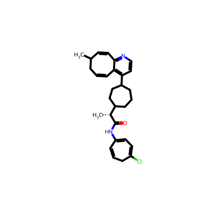 CC1/C=C\c2nccc(C3CCCC([C@@H](C)C(=O)NC4=CC=C(Cl)CC=C4)CC3)c2/C=C\C1